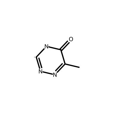 CC1=NN=[C][N]C1=O